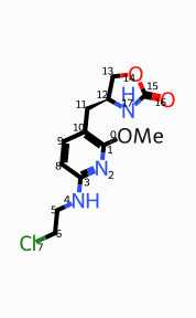 COc1nc(NCCCl)ccc1C[C@H]1COC(=O)N1